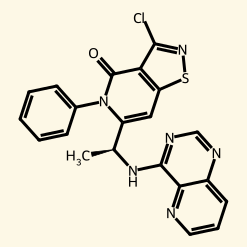 C[C@H](Nc1ncnc2cccnc12)c1cc2snc(Cl)c2c(=O)n1-c1ccccc1